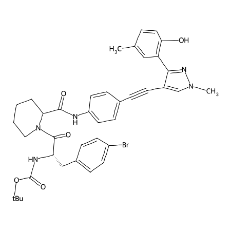 Cc1ccc(O)c(-c2nn(C)cc2C#Cc2ccc(NC(=O)C3CCCCN3C(=O)[C@H](Cc3ccc(Br)cc3)NC(=O)OC(C)(C)C)cc2)c1